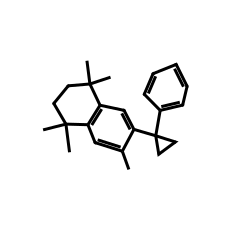 Cc1cc2c(cc1C1(c3ccccc3)CC1)C(C)(C)CCC2(C)C